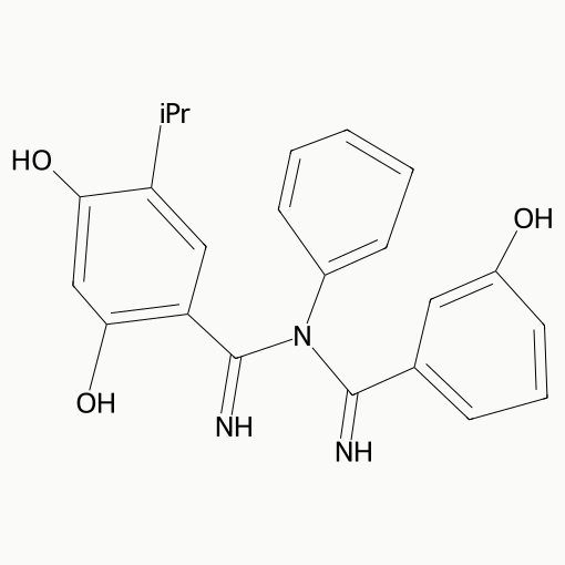 CC(C)c1cc(C(=N)N(C(=N)c2cccc(O)c2)c2ccccc2)c(O)cc1O